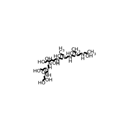 CC(O)CNCCN(CCNCCN(CCNCC(O)CC(NCCN(CCNCC(O)CO)CC(O)CO)C(O)CO)CC(C)O)CC(C)O